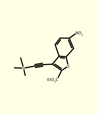 CCOC(=O)c1sc2cc([N+](=O)[O-])ccc2c1C#C[Si](C)(C)C